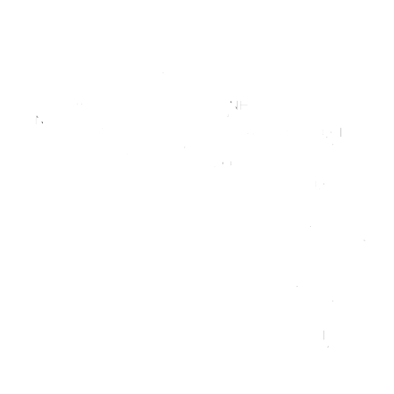 Cc1cc(NC(=O)C(C)(O)COc2ccc(F)cc2)ccc1C#N